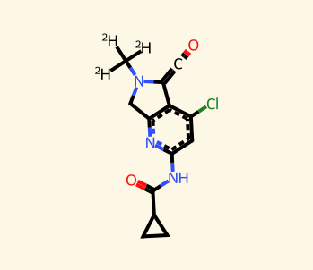 [2H]C([2H])([2H])N1Cc2nc(NC(=O)C3CC3)cc(Cl)c2C1=C=O